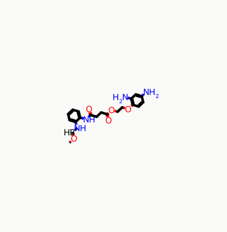 COBNc1ccccc1NC(=O)CCC(=O)OCCOc1ccc(N)cc1N